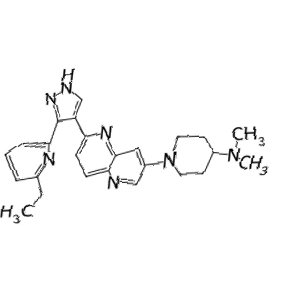 CCc1cccc(-c2n[nH]cc2-c2ccc3ncc(N4CCC(N(C)C)CC4)cc3n2)n1